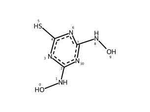 ONc1nc(S)nc(NO)n1